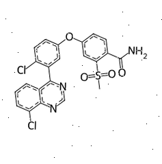 CS(=O)(=O)c1cc(Oc2ccc(Cl)c(-c3ncnc4c(Cl)cccc34)c2)ccc1C(N)=O